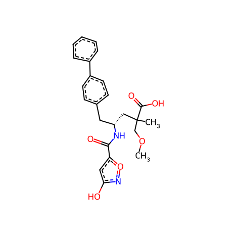 COCC(C)(C[C@@H](Cc1ccc(-c2ccccc2)cc1)NC(=O)c1cc(O)no1)C(=O)O